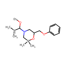 CCOC(N1CC(COc2ccccc2)O[Si](C)(C)C1)[SiH](C)C